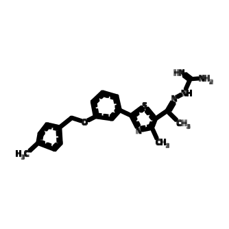 CC(=NNC(=N)N)c1sc(-c2cccc(OCc3ccc(C)cc3)c2)nc1C